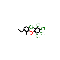 C=Cc1cccc(Oc2c(Cl)c(Cl)c(Cl)c(Cl)c2Cl)c1C